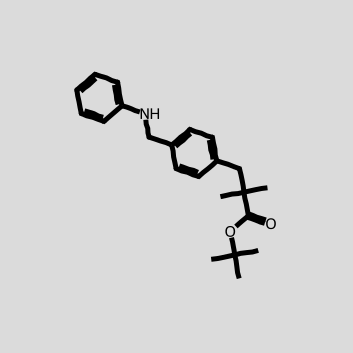 CC(C)(C)OC(=O)C(C)(C)Cc1ccc(CNc2ccccc2)cc1